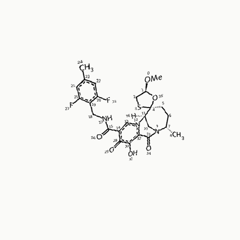 CO[C@@H]1CS[C@@]2(CC[C@H](C)N3C[C@H]2n2cc(C(=O)NCc4c(F)cc(C)cc4F)c(=O)c(O)c2C3=O)O1